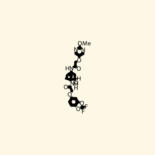 COc1ncc(OCC(=O)NC2=C3CC(NC(=O)COc4ccc5c(c4)OC(F)(F)O5)(C3)[C@@H](O)C2)cn1